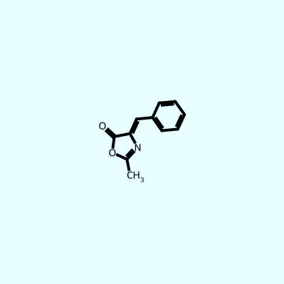 CC1=N/C(=C\c2ccccc2)C(=O)O1